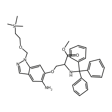 COC(=O)C(COc1cc2c(cnn2COCC[Si](C)(C)C)cc1N)NC(c1ccccc1)(c1ccccc1)c1ccccc1